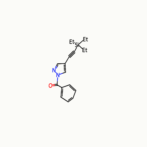 CC[Si](C#Cc1cnn(C(=O)c2ccccc2)c1)(CC)CC